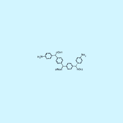 CCCCCCCCCC(c1ccc(C(CCCCCCCC)c2ccc(N)cc2)cc1)c1ccc(C(CCCCCCCC)c2ccc(N)cc2)cc1